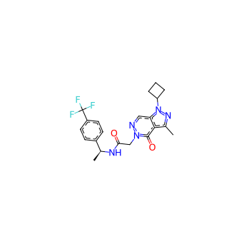 Cc1nn(C2CCC2)c2cnn(CC(=O)N[C@@H](C)c3ccc(C(F)(F)F)cc3)c(=O)c12